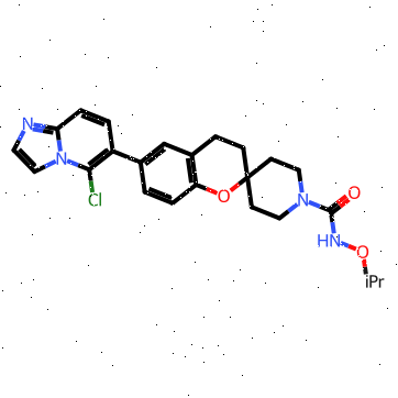 CC(C)ONC(=O)N1CCC2(CCc3cc(-c4ccc5nccn5c4Cl)ccc3O2)CC1